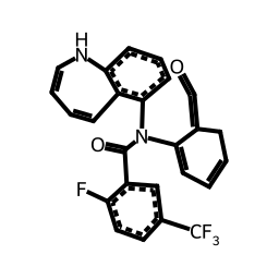 O=C=C1CC=CC=C1N(C(=O)c1cc(C(F)(F)F)ccc1F)c1cccc2c1C=CC=CN2